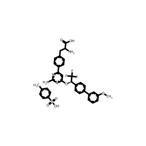 COc1cccc(-c2ccc([C@@H](Oc3cc(-c4ccc(CC(N)C(=O)O)cc4)nc(N)n3)C(F)(F)F)cc2)c1.Cc1ccc(S(=O)(=O)O)cc1